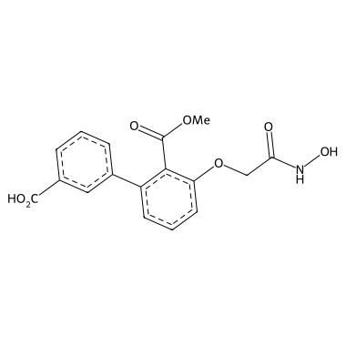 COC(=O)c1c(OCC(=O)NO)cccc1-c1cccc(C(=O)O)c1